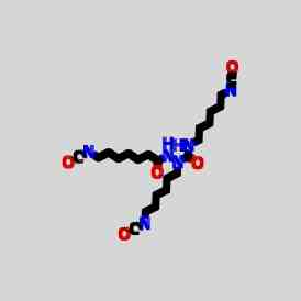 O=C=NCCCCCCNC(=O)N(CCCCCCN=C=O)NC(=O)CCCCCCN=C=O